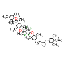 CC(=O)Oc1c(C)cc(CC2CCC3C4CCC(C4Cc4cc(C)c(Oc5c(F)c(F)c(C(C)(C)Oc6c(C)cc(C(C)(C)Oc7c(C)cc(C)cc7C)cc6C)c(F)c5F)c(C)c4)C23)cc1C